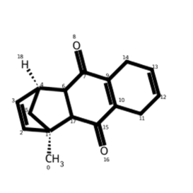 C[C@]12C=C[C@H](C1)C1C(=O)C3=C(CC=CC3)C(=O)C12